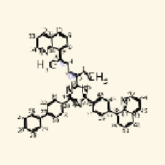 C=C/C(=C\C=C(/C)c1cccc2cccnc12)c1nc(-c2ccc(-c3ccccc3)cc2)nc(-c2ccc(-c3cccc4cccnc34)cc2)n1